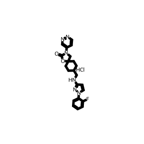 Cl.O=C1OC2(CCC(CNc3ccn(-c4ccccc4F)n3)CC2)CN1c1ccnnc1